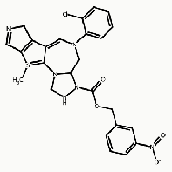 CS1=C2C(=CN(c3ccccc3Cl)CC3N2CNN3C(=O)OCc2cccc([N+](=O)[O-])c2)C2=C1C=NC2